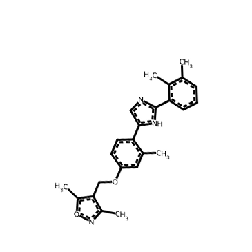 Cc1cc(OCc2c(C)noc2C)ccc1-c1cnc(-c2cccc(C)c2C)[nH]1